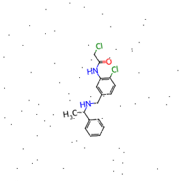 CC(NCc1ccc(Cl)c(NC(=O)CCl)c1)c1ccccc1